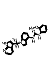 [2H]C([2H])(c1c[nH]c2ncccc12)n1ccc2c(NC(=O)Nc3ccccc3OC)cccc21